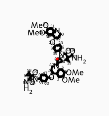 COc1cc2c(cc1OC)N(C13CC(N(C(=O)C4(C(N)=O)CC4)c4ccc(Oc5ccnc6cc(OC)c(OC)cc56)cc4)(C1)C3)CC=C2Oc1ccc(NC(=O)C2(C(N)=O)CC2)cc1